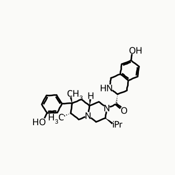 CC(C)[C@H]1CN2C[C@H](C)[C@](C)(c3cccc(O)c3)C[C@@H]2CN1C(=O)[C@H]1Cc2ccc(O)cc2CN1